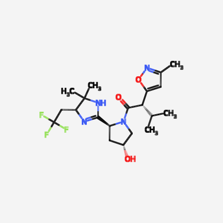 Cc1cc([C@@H](C(=O)N2C[C@H](O)C[C@H]2C2=NC(CC(F)(F)F)C(C)(C)N2)C(C)C)on1